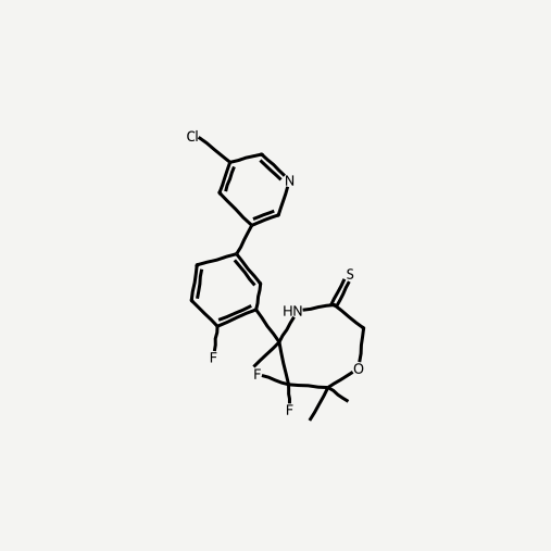 CC1(C)OCC(=S)NC(C)(c2cc(-c3cncc(Cl)c3)ccc2F)C1(F)F